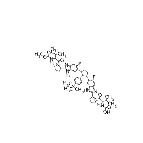 COC(=O)N[C@H](C(=O)N1CCCC1c1nc2cc(F)c(C3CCC(c4cc5[nH]c([C@@H]6CCCN6C(=O)[C@@H](NC(=O)O)C(C)C)nc5cc4F)C3c3ccc(C(C)(C)C)cc3)cc2[nH]1)C(C)C